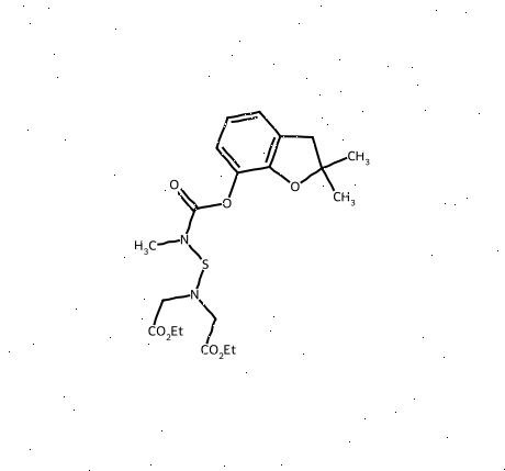 CCOC(=O)CN(CC(=O)OCC)SN(C)C(=O)Oc1cccc2c1OC(C)(C)C2